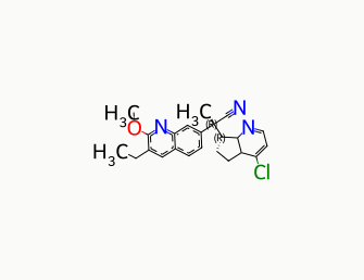 CCc1cc2ccc([C@](C)(C#N)[C@H]3CCC4C(Cl)=CC=NC43)cc2nc1OC